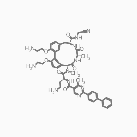 Cc1nc(-c2ccc(-c3ccccc3)cc2)ncc1C(=O)N[C@@H](CCN)C(=O)N(C)[C@@H]1C(=O)N[C@@H](C)C(=O)N[C@H](C(=O)NCC#N)Cc2ccc(OCCN)c(c2)-c2cc1ccc2OCCN